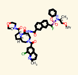 CCCOC[C@H](C)NP(=O)(Oc1ccccc1)C(F)c1ccc2ccc(C(=O)N[C@H]3CN(C(=O)c4cc(Cl)c5nc(C)ccc5c4)CC[C@H]4CC[C@@H](C(=O)N5CCOCC5)N4C3=O)cc2c1